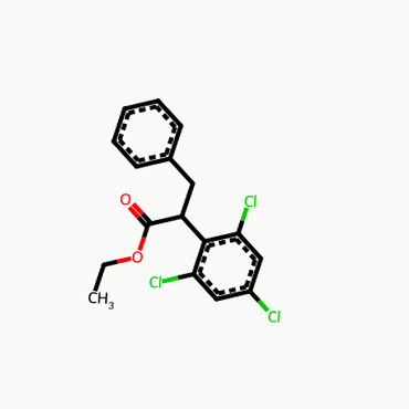 CCOC(=O)C(Cc1ccccc1)c1c(Cl)cc(Cl)cc1Cl